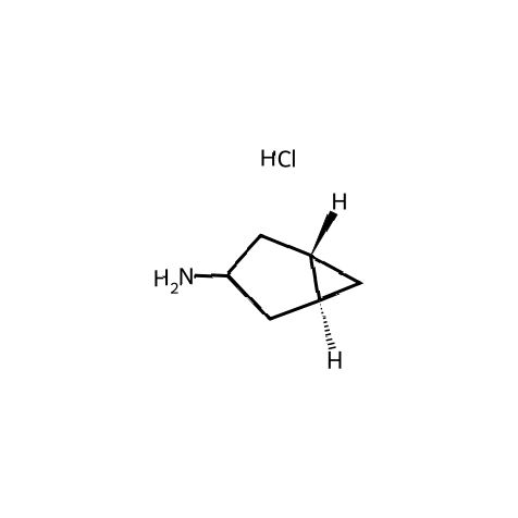 Cl.NC1C[C@@H]2C[C@H]2C1